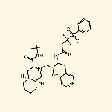 CC(C)(C)NC(=O)C1C[C@@H]2CCCC[C@@H]2CN1CC(O)C(Cc1ccccc1)NC(=O)CC(C)(C)S(=O)(=O)c1ccccc1